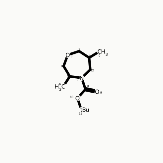 CC1COCC(C)N(C(=O)OC(C)(C)C)C1